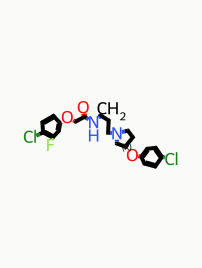 C=C(CCN1CC[C@@H](Oc2ccc(Cl)cc2)C1)NC(=O)COc1ccc(Cl)c(F)c1